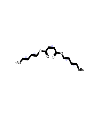 CCCC/C=C/C=C/OC(=O)/C=C\C(=O)O/C=C/C=C/CCCC